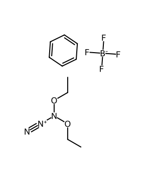 CCON([N+]#N)OCC.F[B-](F)(F)F.c1ccccc1